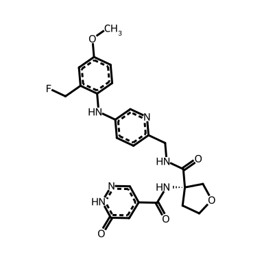 COc1ccc(Nc2ccc(CNC(=O)[C@]3(NC(=O)c4cn[nH]c(=O)c4)CCOC3)nc2)c(CF)c1